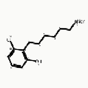 CCCCCCCCCCCCCCCc1c(O)cccc1Cl